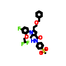 Cc1c(C(=O)Nc2ccc(S(C)(=O)=O)cc2)cc(CCOCc2ccccc2)n1-c1ccc(F)cc1OCC(F)F